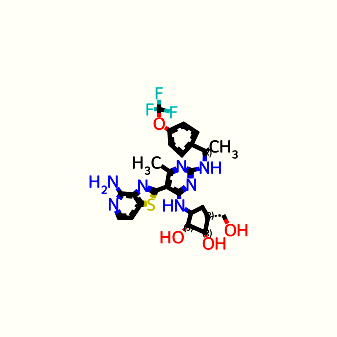 Cc1nc(N[C@H](C)c2ccc(OC(F)(F)F)cc2)nc(NC2C[C@H](CO)[C@@H](O)[C@H]2O)c1-c1nc2c(N)nccc2s1